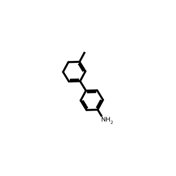 CC1=CC(c2ccc(N)cc2)=CCC1